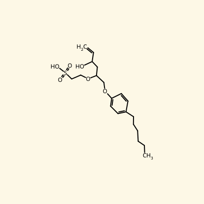 C=CC(O)CC(COc1ccc(CCCCCC)cc1)OCCS(=O)(=O)O